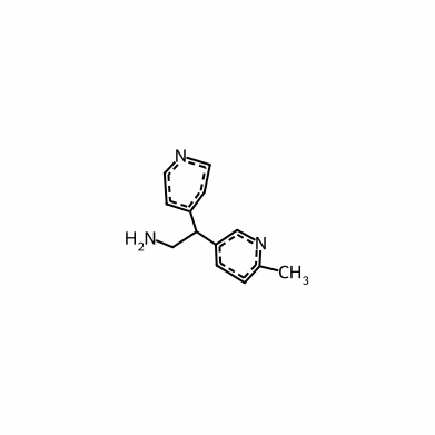 Cc1ccc(C(CN)c2ccncc2)cn1